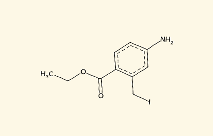 CCOC(=O)c1ccc(N)cc1CI